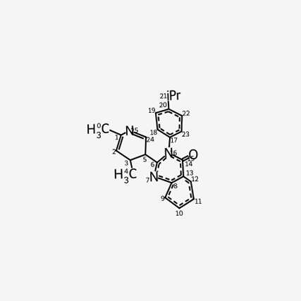 CC1=CC(C)C(c2nc3ccccc3c(=O)n2-c2ccc(C(C)C)cc2)C=N1